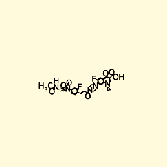 CC(=O)NC[C@H]1CN(c2ccc(C=CC(=O)N3CCN(c4cc5c(cc4F)c(=O)c(C(=O)O)cn5C4CC4)CC3)c(F)c2)C(=O)O1